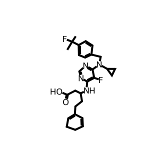 CC(C)(F)c1ccc(CN(c2ncnc(NC(CCC3=CCCC=C3)CC(=O)O)c2F)C2CC2)cc1